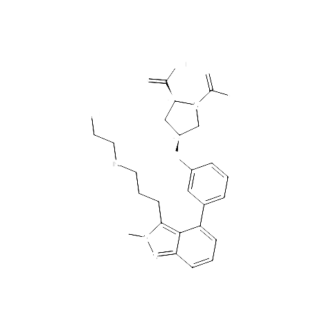 Cn1nc2cccc(-c3cccc(O[C@H]4C[C@@H](C(=O)O)N(C(=O)O)C4)c3)c2c1CCCNCCO